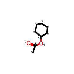 CC(=O)O[C]1CCCCC1